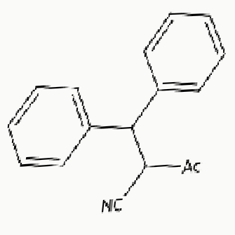 CC(=O)C(C#N)C(c1ccccc1)c1ccccc1